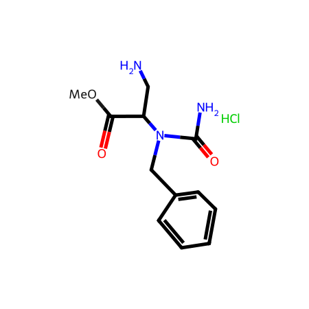 COC(=O)C(CN)N(Cc1ccccc1)C(N)=O.Cl